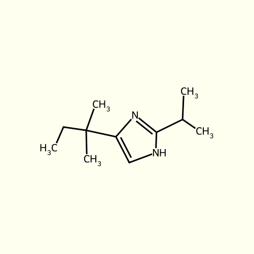 CCC(C)(C)c1c[nH]c(C(C)C)n1